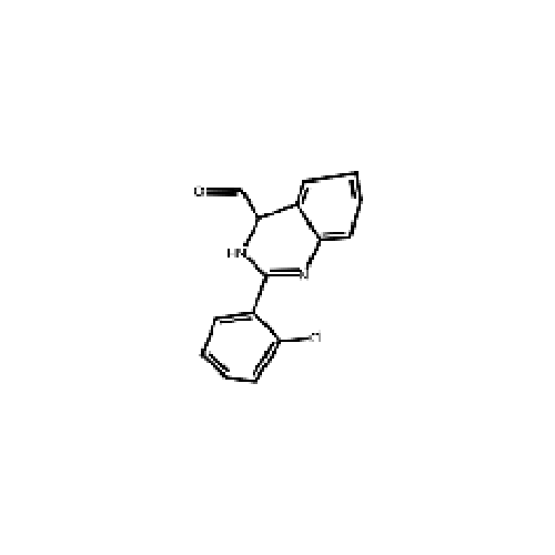 O=CC1NC(c2ccccc2Cl)=Nc2ccccc21